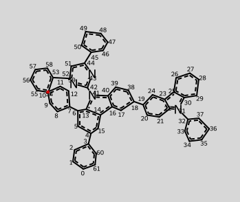 c1ccc(-c2cc(-c3ccccc3)c3c(c2)c2cc(-c4ccc5c(c4)c4ccccc4n5-c4ccccc4)ccc2n3-c2nc(-c3ccccc3)cc(-c3ccccc3)n2)cc1